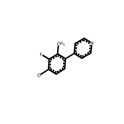 Cc1c(-c2ccncc2)ccc(Cl)c1F